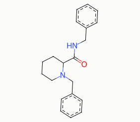 O=C(NCc1ccccc1)C1CCCCN1Cc1ccccc1